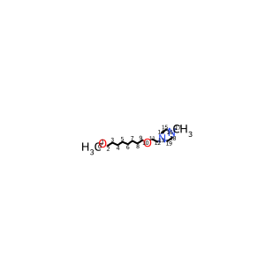 COCCCCCCCCOCCN1CCN(C)CC1